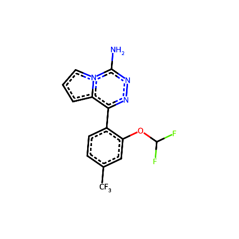 Nc1nnc(-c2ccc(C(F)(F)F)cc2OC(F)F)c2cccn12